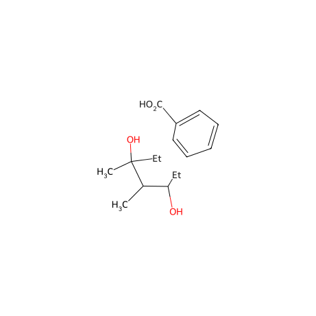 CCC(O)C(C)C(C)(O)CC.O=C(O)c1ccccc1